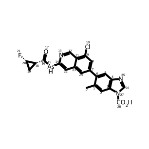 Cc1cc2c(cc1-c1cc(Cl)c3cnc([AsH]C(=O)[C@@H]4C[C@@H]4F)cc3c1)ncn2C(=O)O